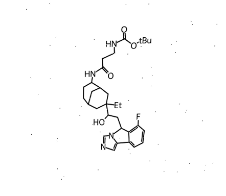 CCC1(C(O)CC2c3c(F)cccc3-c3cncn32)CC2CCC(NC(=O)CCNC(=O)OC(C)(C)C)C(C2)C1